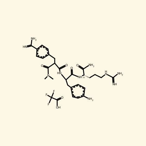 CN(C)C(=O)C(Cc1ccc(C(=N)N)cc1)C(=O)NC(Cc1ccc(N)cc1)C(=O)N[C@@H](CCCNC(=N)N)C(N)=O.O=C(O)C(F)(F)F